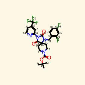 CC(C)(C)OC(=O)N1CCC2(CC1)C(=O)N(c1cc(C(F)(F)F)ccn1)C(=O)N2Cc1ccc(F)cc1F